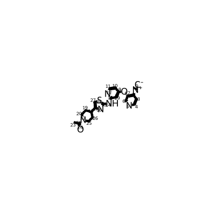 [C-]#[N+]c1ccncc1Oc1ccnc(Nc2nc(C3CCN(C(C)=O)CC3)cs2)c1